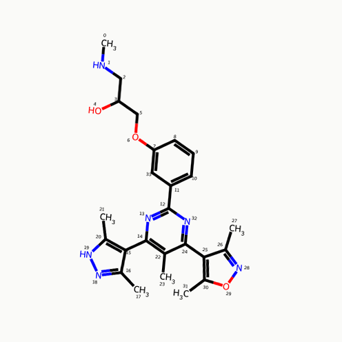 CNCC(O)COc1cccc(-c2nc(-c3c(C)n[nH]c3C)c(C)c(-c3c(C)noc3C)n2)c1